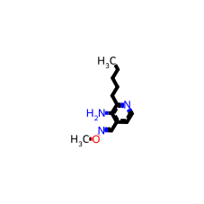 CCCCCc1nccc(/C=N/OC)c1N